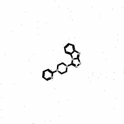 c1ccc(N2CCN(c3nsc4nc5ccccc5n34)CC2)nc1